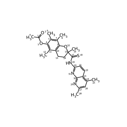 CC(=O)Oc1c(C)c(C)c2c(c1C)CCC(C)(C(=S)Nc1ccc3c(C)cc(C)nc3n1)O2